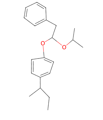 CCC(C)c1ccc(OC(Cc2ccccc2)OC(C)C)cc1